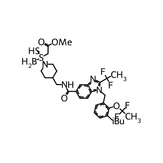 BS(S)(CC(=O)OC)N1CCC(CNC(=O)c2ccc3c(c2)nc(C(C)(F)F)n3Cc2cccc(C(C)CC)c2OC(C)(F)F)CC1